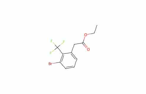 CCOC(=O)Cc1cccc(Br)c1C(F)(F)F